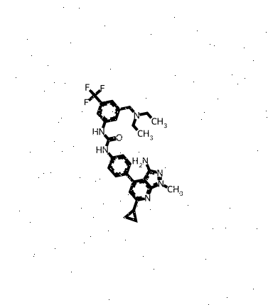 CCN(CC)Cc1cc(NC(=O)Nc2ccc(-c3cc(C4CC4)nc4c3c(N)nn4C)cc2)cc(C(F)(F)F)c1